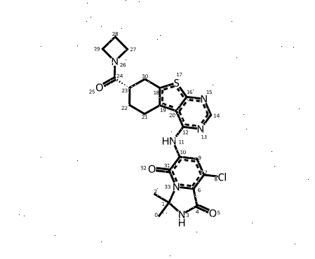 CC1(C)NC(=O)c2c(Cl)cc(Nc3ncnc4sc5c(c34)CC[C@H](C(=O)N3CCC3)C5)c(=O)n21